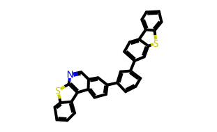 c1cc(-c2ccc3c(cnc4sc5ccccc5c43)c2)cc(-c2ccc3c(c2)sc2ccccc23)c1